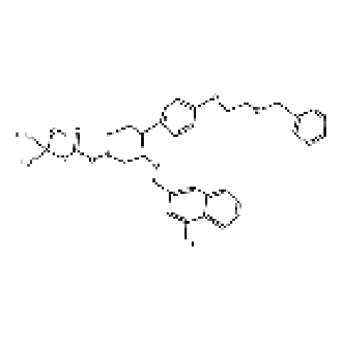 CC(C)(C)OC(=O)ON1CCC(c2ccc(OCCOCc3ccccc3)cc2)C(OCc2cc(O)c3ccccc3c2)C1